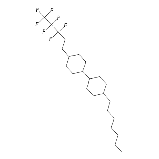 CCCCCCCC1CCC(C2CCC(CCC(F)(F)C(F)(F)C(F)(F)F)CC2)CC1